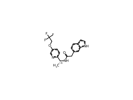 C[C@@H](NC(=O)Cc1ccc2cc[nH]c2c1)c1ccc(OCC(F)(F)F)cn1